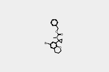 CN(C(=O)OCc1ccccc1)C1(c2cc(Br)cc3c2OCCC3)CC1